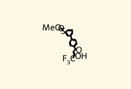 COOSc1cccc(-c2ccc(C(=O)/C=C(\O)C(F)(F)F)cc2)c1